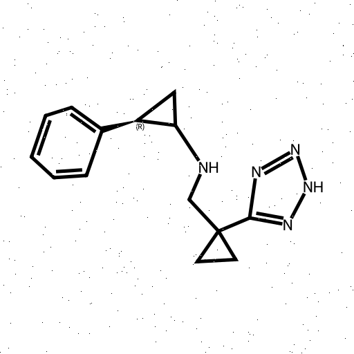 c1ccc([C@H]2CC2NCC2(c3nn[nH]n3)CC2)cc1